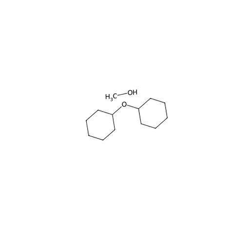 C1CCC(OC2CCCCC2)CC1.CO